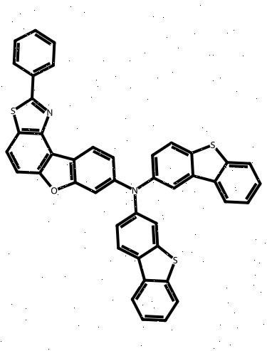 c1ccc(-c2nc3c(ccc4oc5cc(N(c6ccc7c(c6)sc6ccccc67)c6ccc7sc8ccccc8c7c6)ccc5c43)s2)cc1